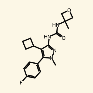 Cn1nc(NC(=O)NC2(C)COC2)c(C2CCC2)c1-c1ccc(F)cc1